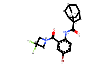 O=C(c1cc(Br)ccc1NC(=O)C12CC3CC(CC1C3)C2)N1CC(F)(F)C1